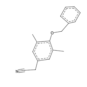 Cc1cc(CC#N)cc(C)c1OCc1ccccc1